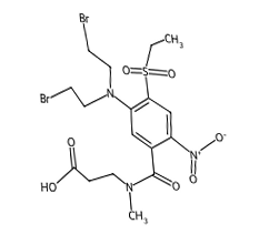 CCS(=O)(=O)c1cc([N+](=O)[O-])c(C(=O)N(C)CCC(=O)O)cc1N(CCBr)CCBr